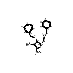 COC1O[C@H](COCc2ccccc2)C(OCc2ccccc2)C1O